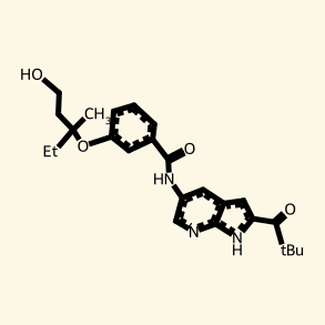 CCC(C)(CCO)Oc1cccc(C(=O)Nc2cnc3[nH]c(C(=O)C(C)(C)C)cc3c2)c1